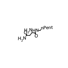 CCCCCCNC(=O)[C@@H](N)CC(N)=O